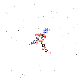 Nc1ncnc2c1ncn2[C@@H]1O[C@@H]2CCO[P@@](=O)(SCc3ccc(OC(=O)c4ccc(O)cc4)cc3)OC3[C@@H](F)[C@H](n4ccc(=O)[nH]c4=O)O[C@@H]3COP(=O)(O)O[C@@H]1[C@@H]2F